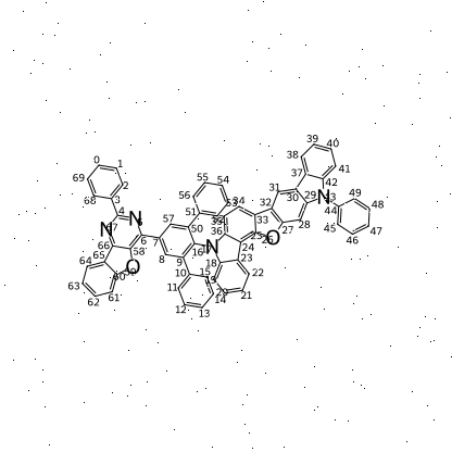 c1ccc(-c2nc(-c3cc(-c4ccccc4)c(-n4c5ccccc5c5c6oc7cc8c(cc7c6ccc54)c4ccccc4n8-c4ccccc4)c(-c4ccccc4)c3)c3oc4ccccc4c3n2)cc1